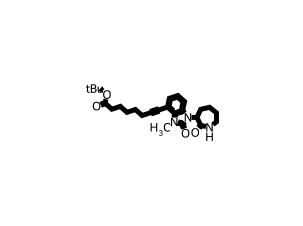 Cn1c(=O)n(C2CCCCNC2=O)c2cccc(C#CCCCCCC(=O)OC(C)(C)C)c21